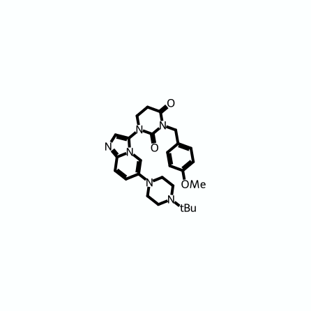 COc1ccc(CN2C(=O)CCN(c3cnc4ccc(N5CCN(C(C)(C)C)CC5)cn34)C2=O)cc1